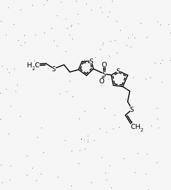 C=CSCCc1csc(S(=O)(=O)c2cc(CCSC=C)cs2)c1